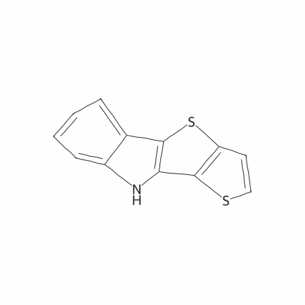 c1ccc2c(c1)[nH]c1c3sccc3sc21